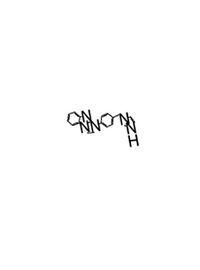 C1=CN(Cc2ccc(N3CCn4c3nc3ccccc34)cc2)CN1